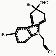 C=CCn1c2c(c3cc(C(C)(C)C)ccc31)=CC(C=O)(C(C)(C)C)CC=2